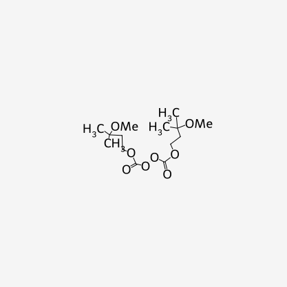 COC(C)(C)CCOC(=O)OOC(=O)OCCC(C)(C)OC